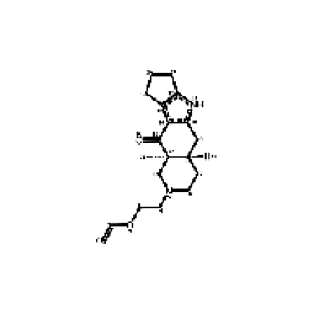 C=COCCN1CC[C@H]2Cc3[nH]c4c(c3C(=O)[C@@H]2C1)CCC4